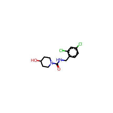 O=C(NCc1ccc(Cl)cc1Cl)N1CCC(O)CC1